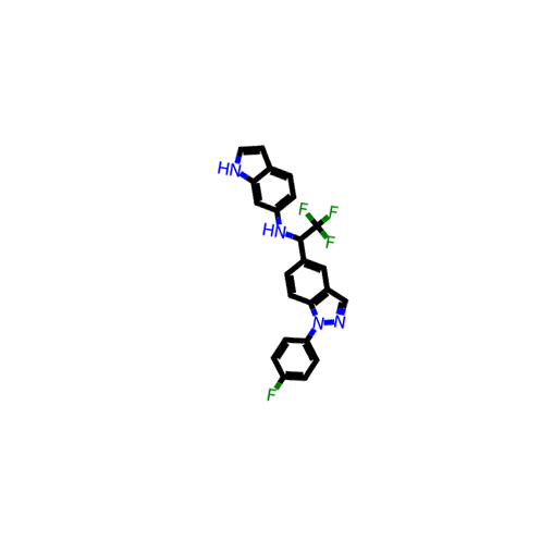 Fc1ccc(-n2ncc3cc(C(Nc4ccc5cc[nH]c5c4)C(F)(F)F)ccc32)cc1